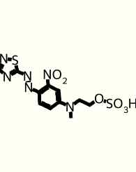 CN(CCOS(=O)(=O)O)c1ccc(N=Nc2ncns2)c([N+](=O)[O-])c1